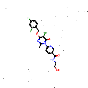 Cc1nc(OCc2ccc(F)cc2F)c(Br)c(=O)n1-c1ccc(C(=O)NCCO)cn1